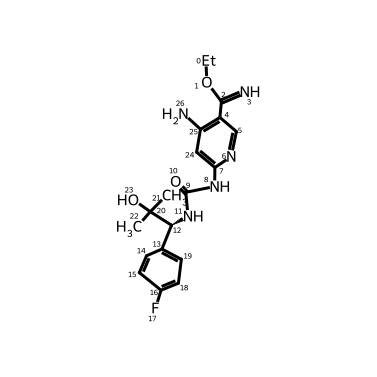 CCOC(=N)c1cnc(NC(=O)N[C@@H](c2ccc(F)cc2)C(C)(C)O)cc1N